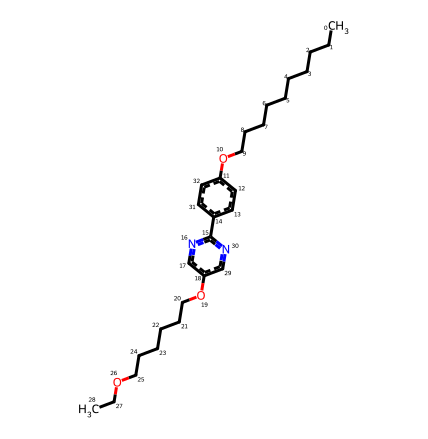 CCCCCCCCCCOc1ccc(-c2ncc(OCCCCCCOCC)cn2)cc1